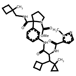 COC(=O)N1CCCC1(C(=O)NCC1(C)CCC1)c1cccc(NC(=O)[C@@H](NC(=O)c2ccnn2C)C(C2CCC2)C2(C)CC2)c1